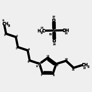 CCCCCCn1ccc(CCC)c1.CS(=O)(=O)O